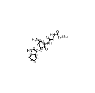 CC(C)(C)OC(=O)NCC(=O)NNC(=O)C(Cc1c[nH]c2ccccc12)OC(N)=O